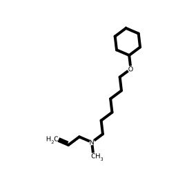 C=CCN(C)CCCCCCOC1CC[CH]CC1